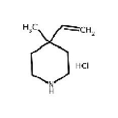 C=CC1(C)CCNCC1.Cl